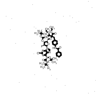 CCOC(=O)C(Cc1ccc(NC(=O)c2ccccc2)cc1)(OC[C@H]1O[C@@H](n2cnc3c(N(OC(C)(C)C)C(=O)OC(C)(C)C)nc(Cl)nc32)[C@@H](F)[C@@H]1OC(=O)OC(C)(C)C)C(=O)OCC